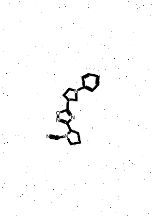 N#CN1CCCC1c1noc(C2CCN(c3ccccc3)C2)n1